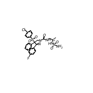 C[C@H](CNC(=O)N1CC(c2ccccc2)(S(=O)(=O)c2ccc(Cl)cc2)C(c2ccc(F)cc2)=N1)NS(N)(=O)=O